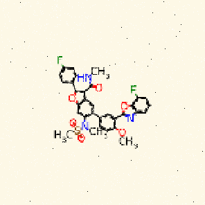 CNC(=O)c1c(-c2ccc(F)cc2)oc2cc(N(C)S(C)(=O)=O)c(-c3ccc(OC)c(-c4nc5cccc(F)c5o4)c3)cc12